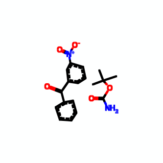 CC(C)(C)OC(N)=O.O=C(c1ccccc1)c1cccc([N+](=O)[O-])c1